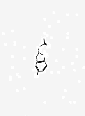 CC(=O)OC1Cc2cc(F)ccc2N1